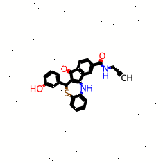 C#CCNC(=O)c1ccc2c(c1)C1=C(C2=O)C(c2cccc(O)c2)Sc2ccccc2N1